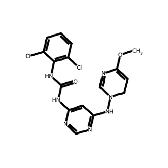 COC1=CCN(Nc2cc(NC(=O)Nc3c(Cl)cccc3Cl)ncn2)C=N1